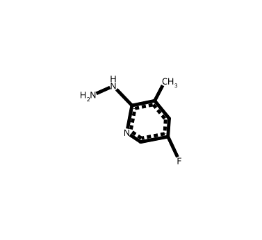 Cc1cc(F)cnc1NN